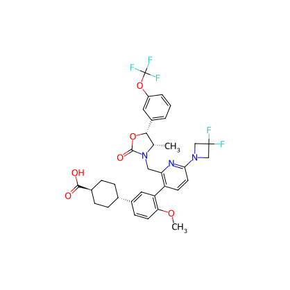 COc1ccc([C@H]2CC[C@H](C(=O)O)CC2)cc1-c1ccc(N2CC(F)(F)C2)nc1CN1C(=O)O[C@H](c2cccc(OC(F)(F)F)c2)[C@@H]1C